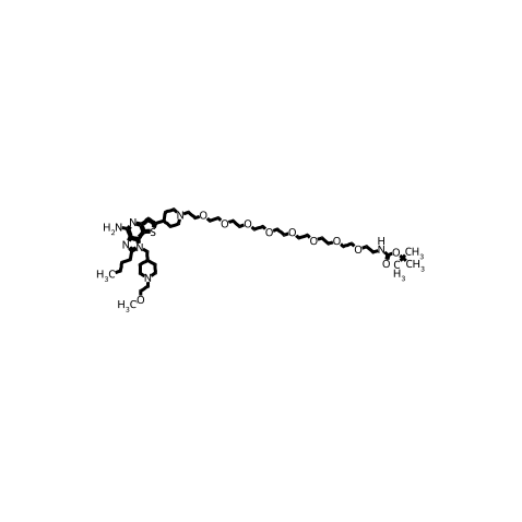 CCCCc1nc2c(N)nc3cc(C4CCN(CCOCCOCCOCCOCCOCCOCCOCCOCCNC(=O)OC(C)(C)C)CC4)sc3c2n1CC1CCN(CCOC)CC1